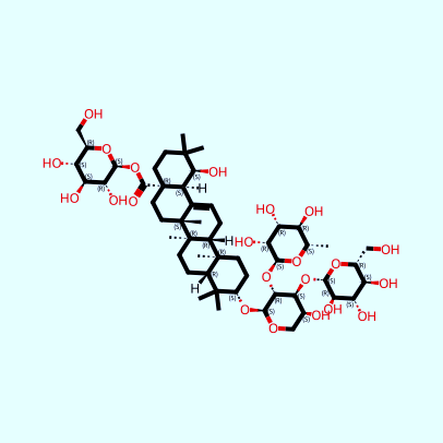 C[C@@H]1O[C@@H](O[C@H]2[C@H](O[C@H]3CC[C@]4(C)[C@H]5CC=C6[C@@H]7[C@H](O)C(C)(C)CC[C@]7(C(=O)O[C@@H]7O[C@H](CO)[C@@H](O)[C@H](O)[C@H]7O)CC[C@@]6(C)[C@]5(C)CC[C@H]4C3(C)C)OC[C@H](O)[C@@H]2O[C@@H]2O[C@H](CO)[C@@H](O)[C@H](O)[C@H]2O)[C@H](O)[C@H](O)[C@H]1O